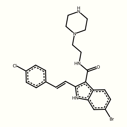 O=C(NCCN1CCNCC1)c1c(C=Cc2ccc(Cl)cc2)[nH]c2cc(Br)ccc12